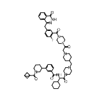 O=C(N[C@@H](C(=O)N1CCN(CC2CCN(CC(=O)N3CCN(C(=O)c4cc(Cc5n[nH]c(=O)c6ccccc56)ccc4F)CC3)CC2)CC1)C1CCCCC1)c1cccc(C2CCCN(C(=O)C34CC(C3)C4)C2)c1